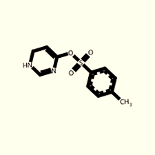 Cc1ccc(S(=O)(=O)OC2=CCNC=N2)cc1